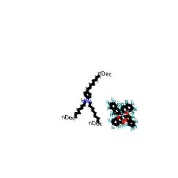 CCCCCCCCCCCCCCCCCCc1ccc([NH+](CCCCCCCCCCCCCCCCCC)CCCCCCCCCCCCCCCCCC)cc1.Fc1c(F)c(F)c2c(F)c([B-](c3c(F)c(F)c4c(F)c(F)c(F)c(F)c4c3F)(c3c(F)c(F)c4c(F)c(F)c(F)c(F)c4c3F)c3c(F)c(F)c4c(F)c(F)c(F)c(F)c4c3F)c(F)c(F)c2c1F